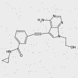 Nc1ncnc2c1c(C#Cc1cccc(C(=O)NC3CC3)c1)cn2CCO